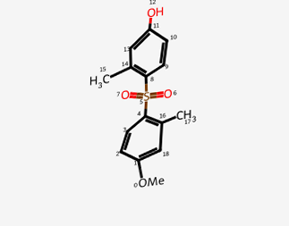 COc1ccc(S(=O)(=O)c2ccc(O)cc2C)c(C)c1